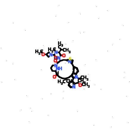 CCn1c(-c2cccnc2[C@H](C)OC)c2c3cc(ccc31)-c1csc(n1)C[C@H](NC(=O)[C@H](C(C)C)N(C)C(=O)N1CC(OC)C1)C(=O)N1CCC[C@H](N1)C(=O)CCC(C)(C)C2